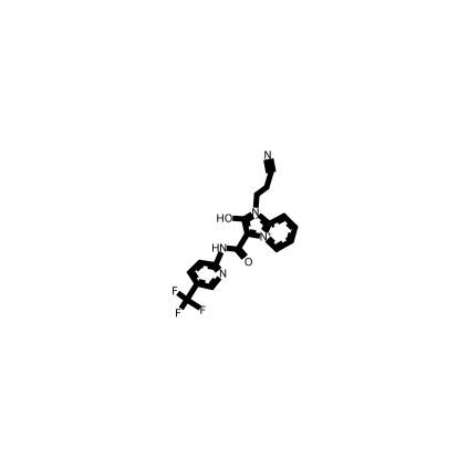 N#CCCn1c(O)c(C(=O)Nc2ccc(C(F)(F)F)cn2)[n+]2ccccc12